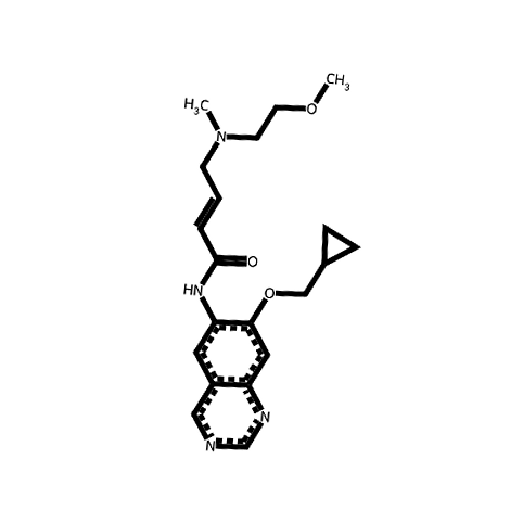 COCCN(C)CC=CC(=O)Nc1cc2cncnc2cc1OCC1CC1